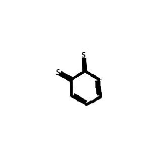 S=C1[C]=CC=CC1=S